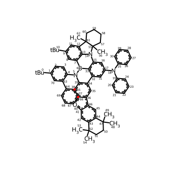 CC(C)(C)c1ccc(N2B3c4cc(C(C)(C)C)cc5c4N(c4cc(N(c6ccccc6)c6ccccc6)cc(c43)-c3cc4c(cc32)oc2cc3c(cc24)C(C)(C)CCC3(C)C)C2(C)CCCCC52C)c(-c2ccccc2)c1